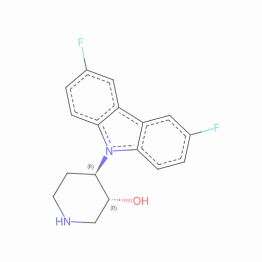 O[C@@H]1CNCC[C@H]1n1c2ccc(F)cc2c2cc(F)ccc21